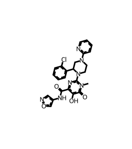 Cn1c(N2CCN(c3ccccn3)CC2c2ccccc2Cl)nc(C(=O)Nc2cnoc2)c(O)c1=O